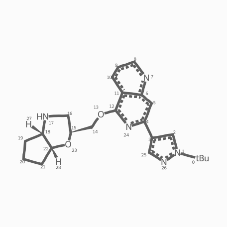 CC(C)(C)n1cc(-c2cc3ncccc3c(OC[C@@H]3CN[C@H]4CCC[C@H]4O3)n2)cn1